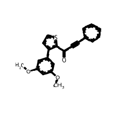 COc1cc(OC)cc(-c2ccsc2C(=O)C#Cc2ccccc2)c1